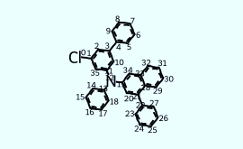 Clc1cc(-c2ccccc2)cc(N(c2ccccc2)c2cc(-c3ccccc3)c3ccccc3c2)c1